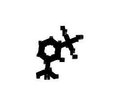 C[SH](C)c1cccc(C(F)(F)F)n1